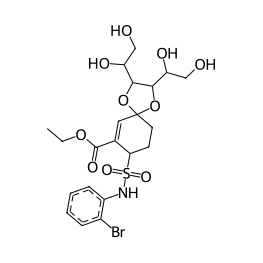 CCOC(=O)C1=CC2(CCC1S(=O)(=O)Nc1ccccc1Br)OC(C(O)CO)C(C(O)CO)O2